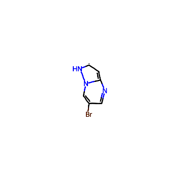 BrC1=CN2N[CH]C=C2N=C1